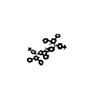 CC(C)(C)c1ccc(N(c2ccc3c(c2)sc2c4ccc(N(c5ccc(C(C)(C)C)cc5)c5cc(-c6ccccc6)cc(-c6ccccc6)c5F)cc4c4ccccc4c32)c2cc(-c3ccccc3)cc(-c3ccccc3)c2F)cc1